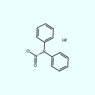 F.O=[N+]([O-])N(c1ccccc1)c1ccccc1